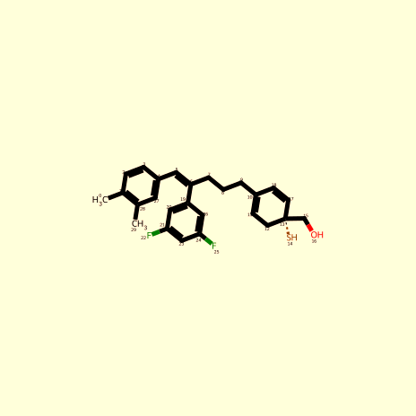 Cc1ccc(C=C(CCCC2=CC[C@](S)(CO)C=C2)c2cc(F)cc(F)c2)cc1C